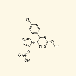 CCOC(=S)SC(c1ccc(Cl)cc1)C(Cl)n1ccnc1.O=[N+]([O-])O